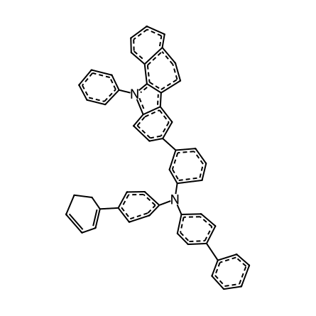 C1=CCCC(c2ccc(N(c3ccc(-c4ccccc4)cc3)c3cccc(-c4ccc5c(c4)c4ccc6ccccc6c4n5-c4ccccc4)c3)cc2)=C1